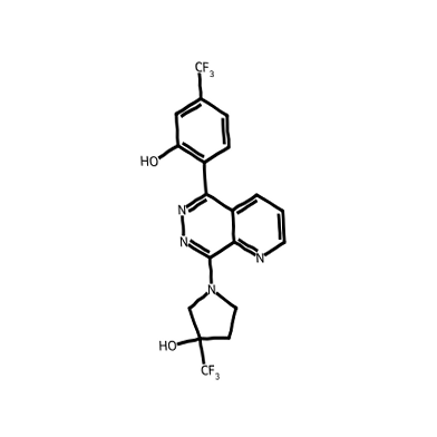 Oc1cc(C(F)(F)F)ccc1-c1nnc(N2CCC(O)(C(F)(F)F)C2)c2ncccc12